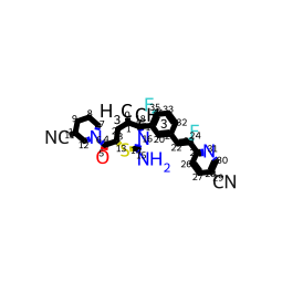 CC1CC(C(=O)N2CCCC(C#N)C2)SC(N)=N[C@]1(C)c1cc(/C=C(\F)c2ccc(C#N)cn2)ccc1F